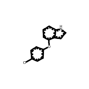 Clc1ccc(Oc2cccc3[nH]ccc23)cc1